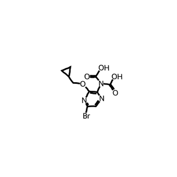 O=C(O)N(C(=O)O)c1ncc(Br)nc1OCC1CC1